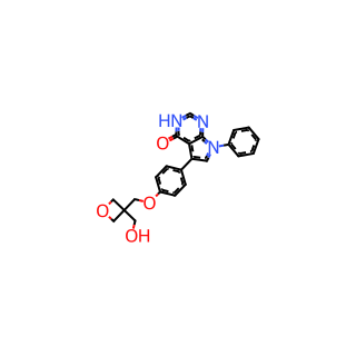 O=c1[nH]cnc2c1c(-c1ccc(OCC3(CO)COC3)cc1)cn2-c1ccccc1